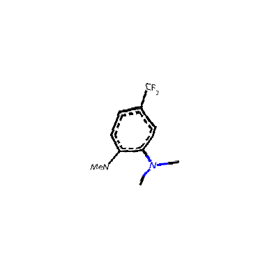 CNc1ccc(C(F)(F)F)cc1N(C)C